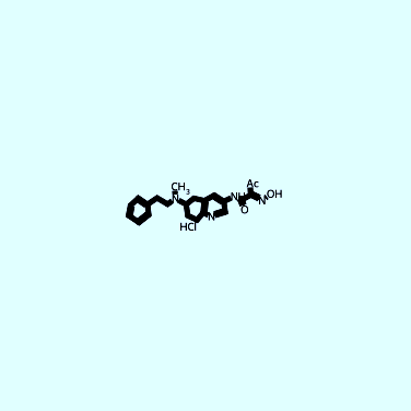 CC(=O)/C(=N\O)C(=O)Nc1cnc2c(c1)CC(N(C)CCc1ccccc1)CC2.Cl